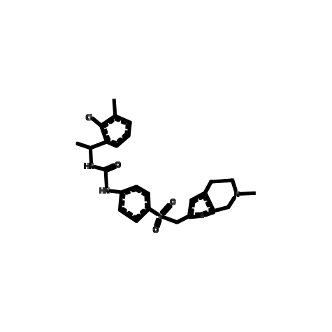 Cc1cccc(C(C)NC(=O)Nc2ccc(S(=O)(=O)Cc3cc4c(s3)CN(C)CC4)cc2)c1Cl